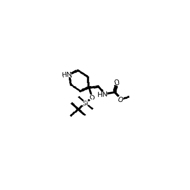 COC(=O)NCC1(O[Si](C)(C)C(C)(C)C)CCNCC1